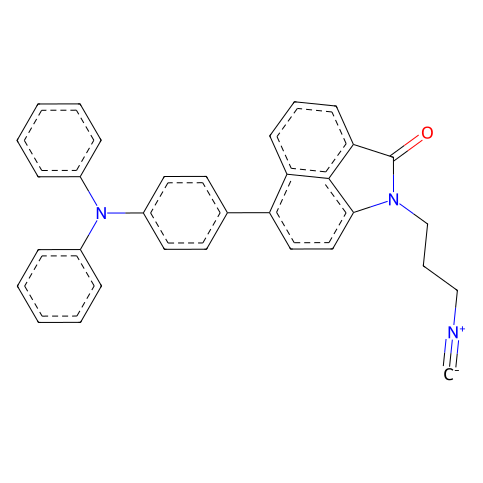 [C-]#[N+]CCCN1C(=O)c2cccc3c(-c4ccc(N(c5ccccc5)c5ccccc5)cc4)ccc1c23